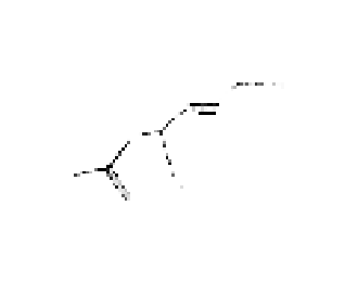 CC(=O)OC(Br)C=CCO